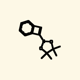 CC1(C)OB(C2=Cc3ccccc32)OC1(C)C